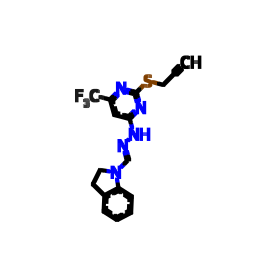 C#CCSc1nc(N/N=C/N2CCc3ccccc32)cc(C(F)(F)F)n1